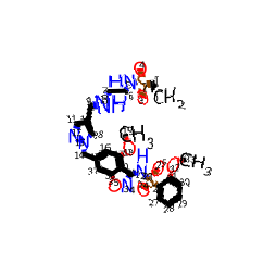 C=CS(=O)(=O)NCCNCc1cnn(Cc2cc(OC)c3c(NS(=O)(=O)c4ccccc4OC)noc3c2)c1